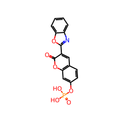 O=c1oc2cc(OP(=O)(O)O)ccc2cc1-c1nc2ccccc2o1